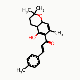 CC1=CC2OC(C)(C)CCC2C(O)=C1C(=O)/C=C/c1ccc(C)cc1